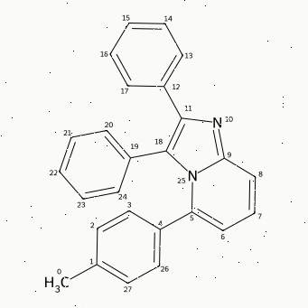 Cc1ccc(-c2cccc3nc(-c4ccccc4)c(-c4ccccc4)n23)cc1